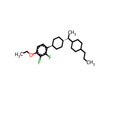 CCCC1CCC(C(C)[C@H]2CC[C@H](c3ccc(OCC)c(F)c3F)CC2)CC1